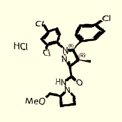 COCC1CCCN1NC(=O)C1=NN(c2ccc(Cl)cc2Cl)[C@@H](c2ccc(Cl)cc2)[C@H]1C.Cl